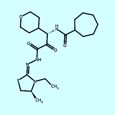 CCN1C(=NNC(=O)C(=O)[C@@H](NC(=O)C2CCCCCC2)C2CCOCC2)SC[C@@H]1C